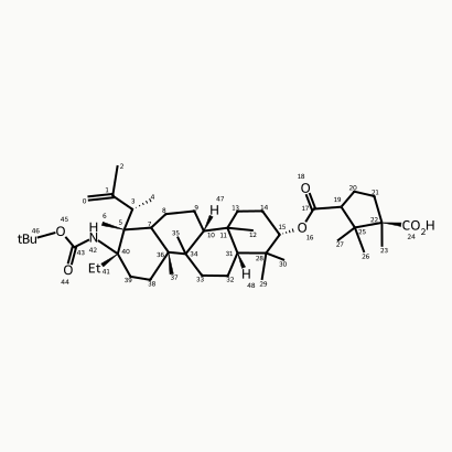 C=C(C)[C@H](C)[C@]1(C)C2CC[C@@H]3C4(C)CC[C@H](OC(=O)C5CC[C@@](C)(C(=O)O)C5(C)C)C(C)(C)[C@@H]4CCC3(C)[C@]2(C)CC[C@]1(CC)NC(=O)OC(C)(C)C